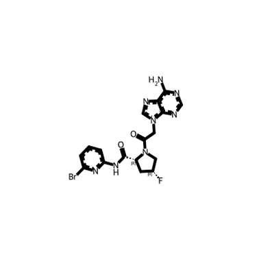 Nc1ncnc2c1ncn2CC(=O)N1C[C@H](F)C[C@@H]1C(=O)Nc1cccc(Br)n1